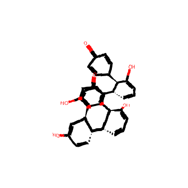 O=C1C=CC([C@H]2C(O)=CC=C[C@@H]2[C@@H]2C=CC(O)=C[C@H]2[C@H]2C(O)=CC=C[C@@H]2[C@@H]2C=CC(O)=C[C@H]2C2C=CC(=O)C=C2)C=C1